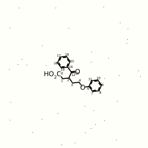 O=C(O)CC(CCOc1ccccc1)C(=O)c1ccccc1